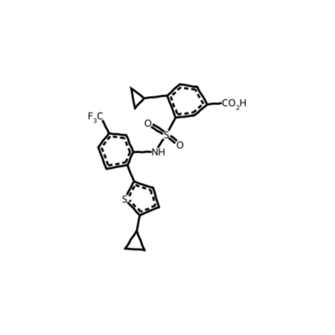 O=C(O)c1ccc(C2CC2)c(S(=O)(=O)Nc2cc(C(F)(F)F)ccc2-c2ccc(C3CC3)s2)c1